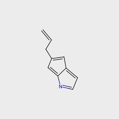 C=CCC1=CC2=CC=NC2=C1